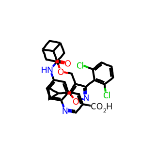 O=C(O)c1cnc2ccc(NC(=O)C3C4CC(OCc5c(-c6c(Cl)cccc6Cl)noc5C5CC5)CC3C4)cc2c1